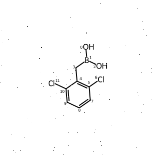 OB(O)Cc1c(Cl)cccc1Cl